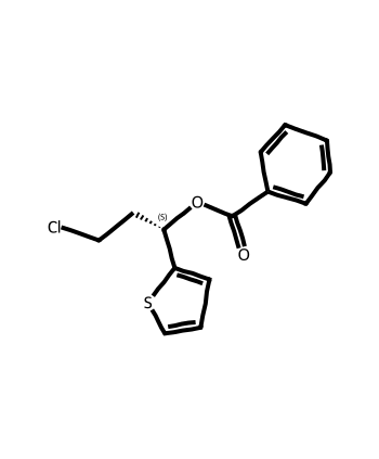 O=C(O[C@@H](CCCl)c1cccs1)c1ccccc1